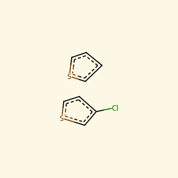 Clc1ccsc1.c1ccsc1